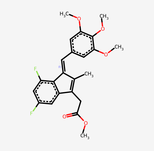 COC(=O)CC1=C(C)/C(=C\c2cc(OC)c(OC)c(OC)c2)c2c(F)cc(F)cc21